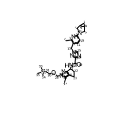 Cc1nc(N2CC3CC3C2)ccc1Cn1cnc(C(=O)N[C@@H]2CCc3c2nn(COCC[Si](C)(C)C)c3C)n1